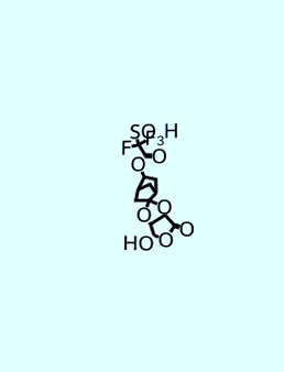 O=C1OC(O)C2OC3(CC4CC3CC4OC(=O)C(F)(F)S(=O)(=O)O)OC12